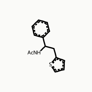 CC(=O)NC(Cc1cccs1)c1ccccc1